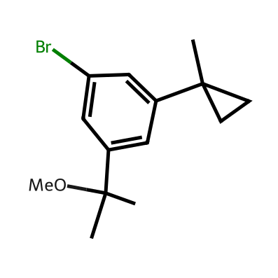 COC(C)(C)c1cc(Br)cc(C2(C)CC2)c1